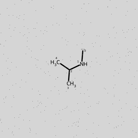 [C]NC(C)C